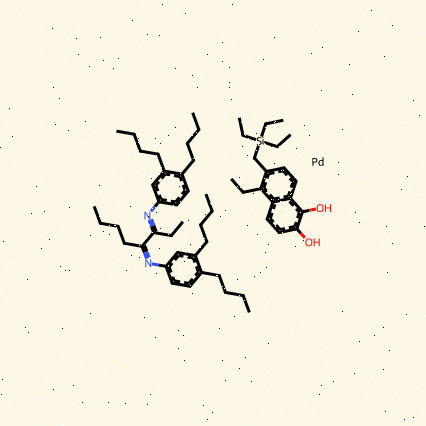 CCCCC(=Nc1ccc(CCCC)c(CCCC)c1)C(CC)=Nc1ccc(CCCC)c(CCCC)c1.CCc1c(C[Si](CC)(CC)CC)ccc2c(O)c(O)ccc12.[Pd]